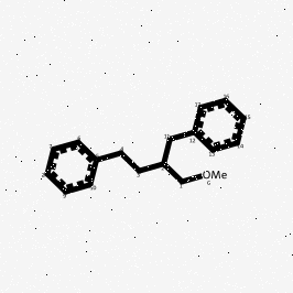 COCC(CCc1ccccc1)Cc1ccccc1